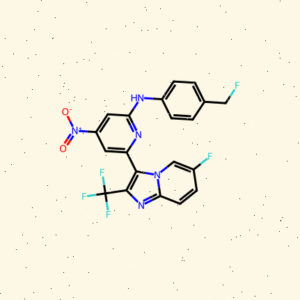 O=[N+]([O-])c1cc(Nc2ccc(CF)cc2)nc(-c2c(C(F)(F)F)nc3ccc(F)cn23)c1